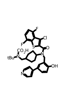 CC(C)(C)N(CC1CCC(N(Cc2cc(-c3ccncc3)ccc2O)C(=O)c2sc3c(F)ccc(F)c3c2Cl)CC1)C(=O)O